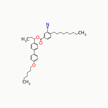 CCCCCCCCCc1ccc(C(=O)OC(CC)c2ccc(-c3ccc(OCCCCCC)cc3)cc2)cc1C#N